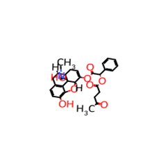 CC(=O)CCC(=O)O[C@H](C(=O)OC1=CC[C@@]2(O)[C@H]3Cc4ccc(O)c5c4[C@@]2(CCN3C)[C@H]1O5)c1ccccc1